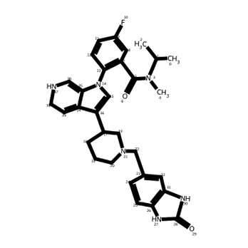 CC(C)N(C)C(=O)c1cc(F)ccc1-n1cc(C2CCCN(Cc3ccc4[nH]c(=O)[nH]c4c3)C2)c2c1=CNCC=2